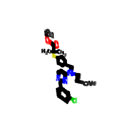 COCCN(Cc1ccc(SC(C)(C)C(=O)OC(C)(C)C)cc1)c1ccnc(-c2cccc(Cl)c2)n1